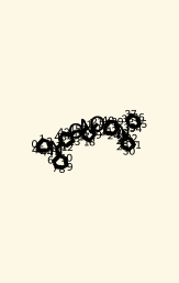 c1ccc(N(c2ccccc2)c2ccc(Oc3cccc(Oc4ccc(N(c5ccccc5)c5ccccc5)cc4)n3)cc2)cc1